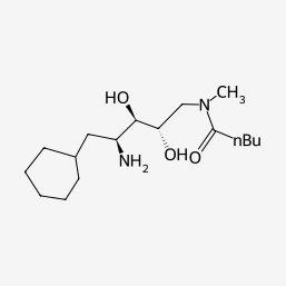 CCCCC(=O)N(C)C[C@H](O)[C@H](O)[C@@H](N)CC1CCCCC1